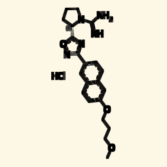 COCCCOc1ccc2cc(-c3noc([C@@H]4CCCN4C(=N)N)n3)ccc2c1.Cl